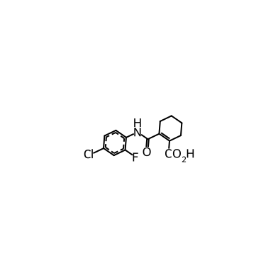 O=C(O)C1=C(C(=O)Nc2ccc(Cl)cc2F)CCCC1